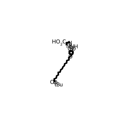 CC(C)(C)OC(=O)CCCCCCCCCCCCCCCOc1ccc(S(=O)(=O)Nc2ncc(C(=O)O)cn2)cc1